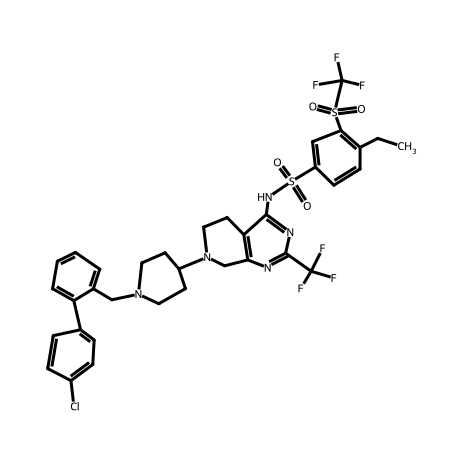 CCc1ccc(S(=O)(=O)Nc2nc(C(F)(F)F)nc3c2CCN(C2CCN(Cc4ccccc4-c4ccc(Cl)cc4)CC2)C3)cc1S(=O)(=O)C(F)(F)F